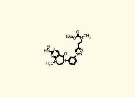 CCNc1ncc2c(n1)N(C)CCN(c1cccc(-n3cc(CCN(C)C(=O)OC(C)(C)C)nn3)c1)C2=O